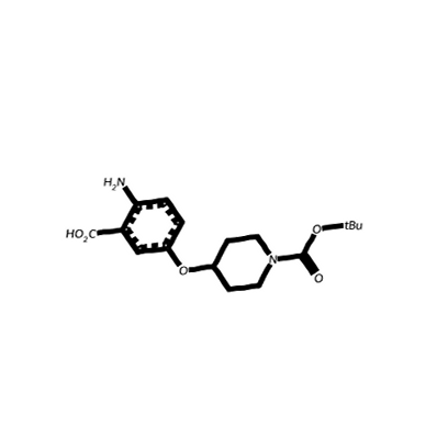 CC(C)(C)OC(=O)N1CCC(Oc2ccc(N)c(C(=O)O)c2)CC1